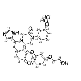 Cl.Cl.N#Cc1ccc(CC(c2cnc[nH]2)N2CCN(c3cccc(Cl)c3)C(=O)C2)cc1Oc1cccc(OCCO)c1